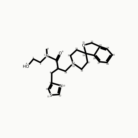 CN(CCO)C(=O)C(Cc1cscn1)CN1CCC2(CC1)OCc1ccccc12